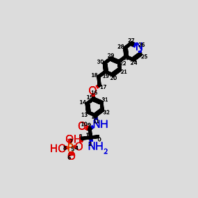 CC(N)(COP(=O)(O)O)C(=O)Nc1ccc(OCCc2ccc(-c3ccncc3)cc2)cc1